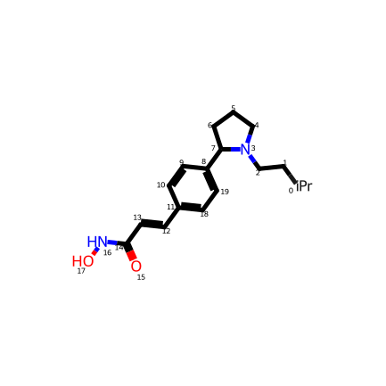 CC(C)CCN1CCCC1c1ccc(/C=C/C(=O)NO)cc1